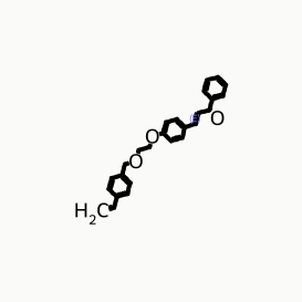 C=Cc1ccc(COCCOc2ccc(/C=C/C(=O)c3ccccc3)cc2)cc1